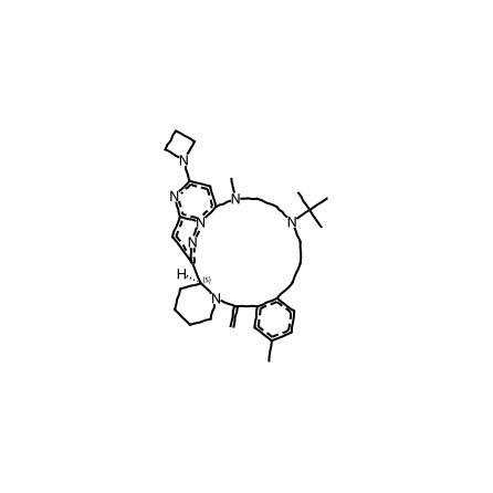 C=C1c2cc(C)ccc2CCCN(C(C)(C)C)CCN(C)c2cc(N3CCC3)nc3cc(nn23)[C@@H]2CCCCN12